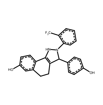 Oc1ccc(C2C3=C(NN2c2ccccc2C(F)(F)F)c2ccc(O)cc2CC3)cc1